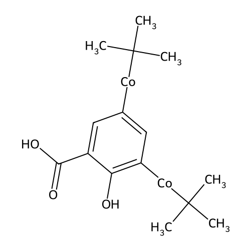 C[C](C)(C)[Co][c]1c[c]([Co][C](C)(C)C)c(O)c(C(=O)O)c1